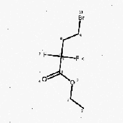 CCOC(=O)C(F)(F)CCBr